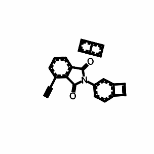 C#Cc1cccc2c1C(=O)N(c1ccc3c(c1)C=C3)C2=O.c1cc2ccc1-2